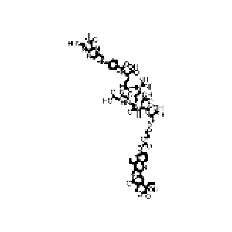 CCc1c2c(nc3ccc(OC(=O)OCCSSC[C@@H](NC(=O)[C@H](CC(=O)O)NC(=O)[C@@H](CCCNC(=N)N)NC(=O)[C@H](CC(=O)O)NC(=O)CC[C@@H](NC(=O)c4ccc(NCc5cnc6nc(N)[nH]c(=O)c6n5)cc4)C(=O)O)C(=O)O)cc13)-c1cc3c(c(=O)n1C2)COC(=O)C3(O)CC